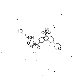 CCN(CC(=O)NCCCO)C(=O)c1ccc2c(c1)c1c(n2S(=O)(=O)CC)CCC(C2CCOCC2)C1